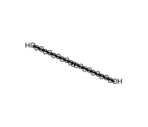 OCCOCCOCCOCCOCCOCCOCCOCCOCCOCOCOCCOCCOCCOCCOCCOCCOCCOCCOCCO